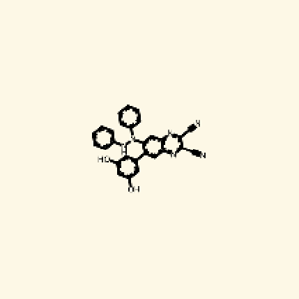 N#Cc1nc2cc(-c3cc(O)cc(O)c3)c(N(Nc3ccccc3)c3ccccc3)cc2nc1C#N